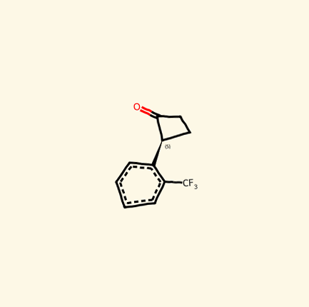 O=C1CC[C@H]1c1ccccc1C(F)(F)F